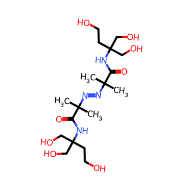 CC(C)(N=NC(C)(C)C(=O)NC(CO)(CO)CCO)C(=O)NC(CO)(CO)CCO